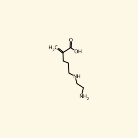 C=C(CCCNCCN)C(=O)O